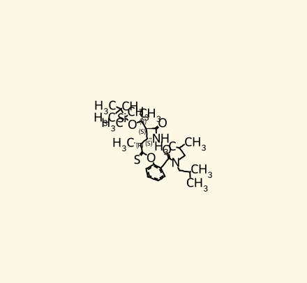 CC(C)CN(CC(C)C)C(=O)c1ccccc1OC(=S)[C@H](C)[C@H]1NC(=O)[C@@H]1[C@@H](C)O[Si](C)(C)C(C)(C)C